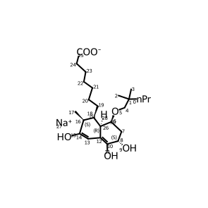 CCCC(C)(C)CO[C@H]1C[C@H](O)C(O)=C2C=C(O)[C@@H](C)[C@@H](CCCCCCC(=O)[O-])[C@H]21.[Na+]